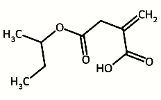 C=C(CC(=O)OC(C)CC)C(=O)O